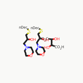 CCCCCCCCCCSCC(O)CN1CCOCC1.CCCCCCCCCCSCC(O)CN1CCOCC1.O=C(O)C(O)C(O)C(=O)O